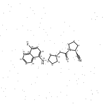 N#C[C@@H]1CCCN1C(=O)CN1CC[C@H](Nc2ccc(F)c3ncccc23)C1